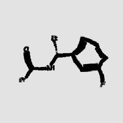 CC[C@@H](NC(=O)C(C)C)c1cccc(F)c1